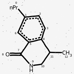 CCCc1ccc2c(c1)C(=O)NCC2C